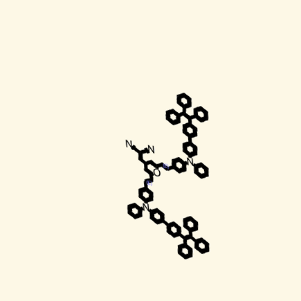 N#CC(C#N)=CC1C=C(/C=C/c2ccc(N(c3ccccc3)c3ccc(-c4ccc(C(=C(c5ccccc5)c5ccccc5)c5ccccc5)cc4)cc3)cc2)OC(/C=C/c2ccc(N(c3ccccc3)c3ccc(-c4ccc(C(=C(c5ccccc5)c5ccccc5)c5ccccc5)cc4)cc3)cc2)=C1